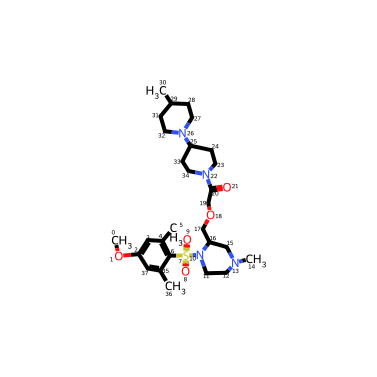 COc1cc(C)c(S(=O)(=O)N2CCN(C)CC2COCC(=O)N2CCC(N3CCC(C)CC3)CC2)c(C)c1